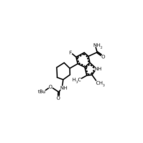 Cc1[nH]c2c(C(N)=O)cc(F)c(C3CCCC(NC(=O)OC(C)(C)C)C3)c2c1C